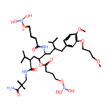 COCCCOc1cc(CC(CC(NC(=O)CCCON(O)O)C(CC(C(=O)NCC(C)(C)C(N)=O)C(C)C)OC(=O)CCCON(O)O)C(C)C)ccc1OC